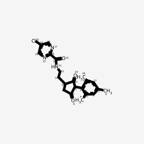 Cc1cc(C)c(C2C(=O)CC(CCNC(=O)c3ncc(Cl)cn3)C2=O)c(C)c1